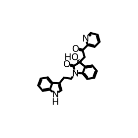 O=C(C[C@]1(O)C(=O)N(CCc2c[nH]c3ccccc23)c2ccccc21)c1ccccn1